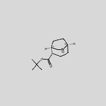 CC(C)(C)OC(=O)N1CC[C@@H]2CC[C@H]1CN2